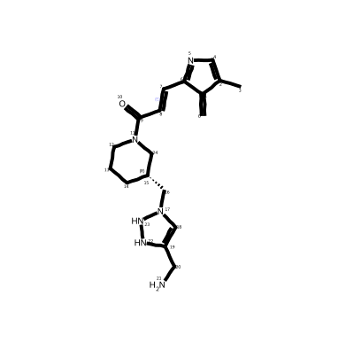 C=C1C(C)=CN=C1/C=C/C(=O)N1CCC[C@@H](CN2C=C(CN)NN2)C1